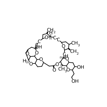 C=C1C(C)CC2CC[C@@H]3OC(CC[C@@]4(O)CC5C[C@@H]6OC7CCC(CC(=O)OC8[C@@H](C)C9OC(CCO)C(O)CC9O[C@H]8CC1O2)OC7C(O4)C6O5)CC3=C